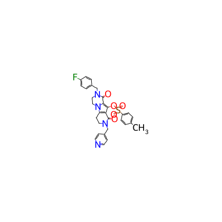 Cc1ccc(S(=O)(=O)Oc2c3c(n4c2C(=O)N(Cc2ccc(F)cc2)CC4)CCN(Cc2ccncc2)C3=O)cc1